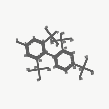 Cc1cc(C(C)(C)C)c(-c2ccc(C(C)(C)C)[c]c2C(C)(C)C)c(C(C)(C)C)c1